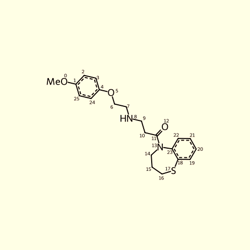 COc1ccc(OCCNCCC(=O)N2CCCSc3ccccc32)cc1